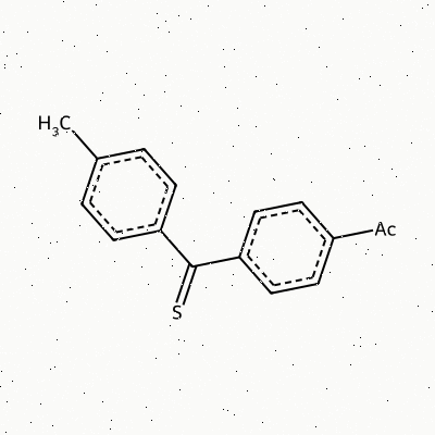 CC(=O)c1ccc(C(=S)c2ccc(C)cc2)cc1